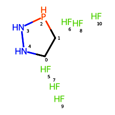 C1CPNN1.F.F.F.F.F.F